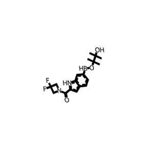 CC(C)(O)C(C)(C)OBc1ccc2cc(C(=O)N3CC(F)(F)C3)[nH]c2c1